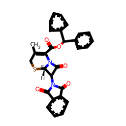 CC1=C(C(=O)OC(c2ccccc2)c2ccccc2)N2C(=O)C(N3C(=O)c4ccccc4C3=O)[C@@H]2SC1